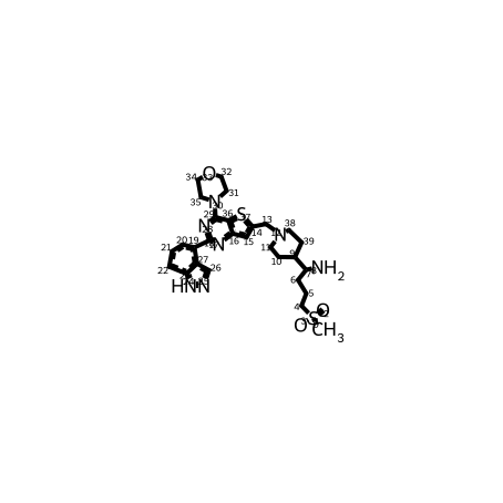 CS(=O)(=O)CCCC(N)C1CCN(Cc2cc3nc(-c4cccc5[nH]ncc45)nc(N4CCOCC4)c3s2)CC1